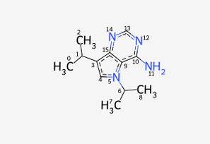 CC(C)c1cn(C(C)C)c2c(N)ncnc12